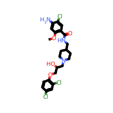 COc1cc(N)c(Cl)cc1C(=O)NCC1CCN(CC(O)COc2ccc(Cl)cc2Cl)CC1